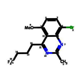 COc1ccc(Br)c2nc(C)nc(CCCC(F)(F)F)c12